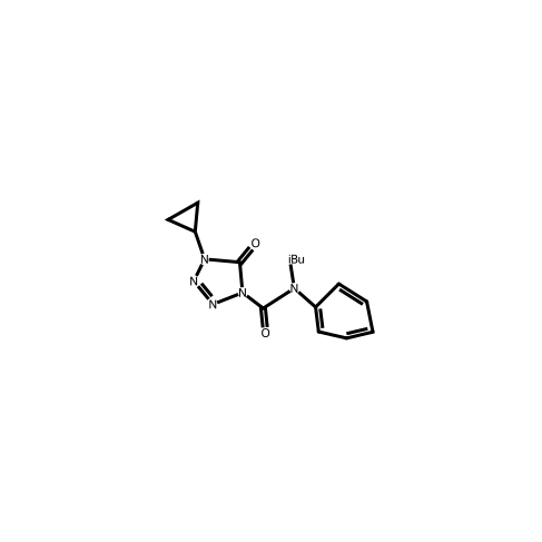 CCC(C)N(C(=O)n1nnn(C2CC2)c1=O)c1ccccc1